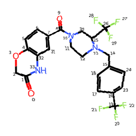 O=C1COc2ccc(C(=O)N3CCN(Cc4ccc(C(F)(F)F)cc4)C(C(F)(F)F)C3)cc2N1